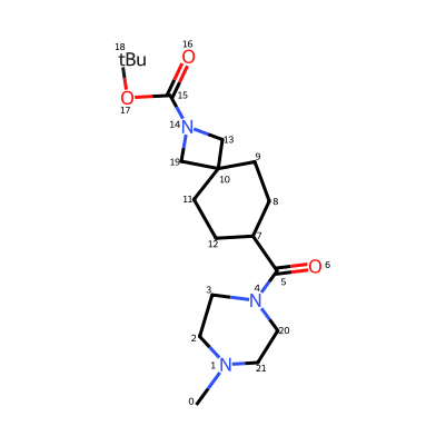 CN1CCN(C(=O)C2CCC3(CC2)CN(C(=O)OC(C)(C)C)C3)CC1